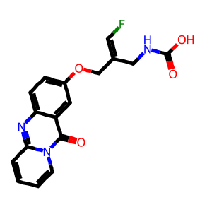 O=C(O)NCC(=CF)COc1ccc2nc3ccccn3c(=O)c2c1